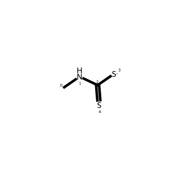 CNC([S])=S